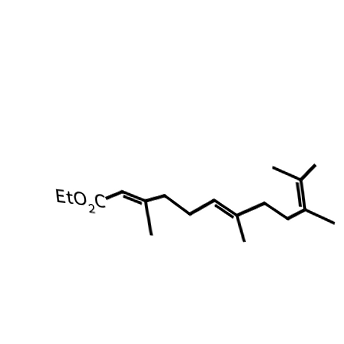 CCOC(=O)/C=C(\C)CC/C=C(\C)CCC(C)=C(C)C